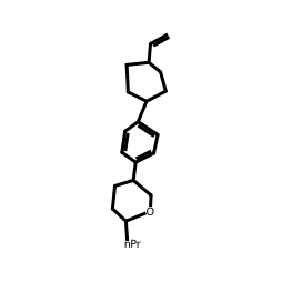 C=CC1CCC(c2ccc(C3CCC(CCC)OC3)cc2)CC1